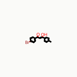 Cc1ccc(/C(O)=C/C(=O)c2ccc(Br)cc2)cc1